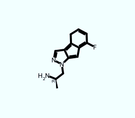 C[C@@H](N)Cn1ncc2c1=CC1=C(F)C=CCC=21